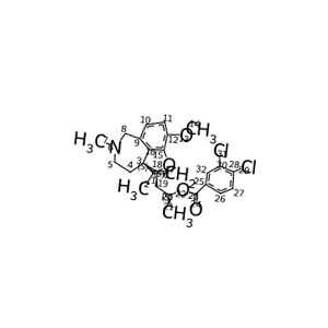 C=C(C)[C@@]12CCN(C)Cc3ccc(OC)c(c31)O[C@H]2C[C@H](C)OC(=O)c1ccc(Cl)c(Cl)c1